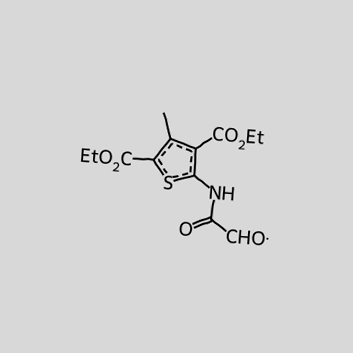 CCOC(=O)c1sc(NC(=O)[C]=O)c(C(=O)OCC)c1C